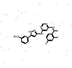 COc1cccc(-c2cc(Nc3cc(NC(C)c4ccc(F)cc4F)ncn3)n[nH]2)c1